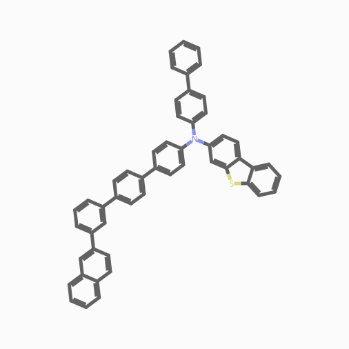 c1ccc(-c2ccc(N(c3ccc(-c4ccc(-c5cccc(-c6ccc7ccccc7c6)c5)cc4)cc3)c3ccc4c(c3)sc3ccccc34)cc2)cc1